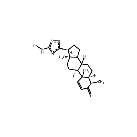 CC(C)Nc1nc([C@H]2CC[C@H]3[C@@H]4CC[C@H]5N(C)C(=O)C=C[C@]5(C)[C@H]4CC[C@]23C)cs1